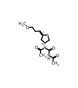 COCC/C=C1\C[C@@H](N(C(C)=O)C(=O)NC(C)=O)CS1